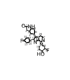 O=C1Cc2cc(-c3c(-c4ccc(F)cc4)nc4c(N5CC[C@H](O)[C@H](F)C5)nccn34)ccc2N1